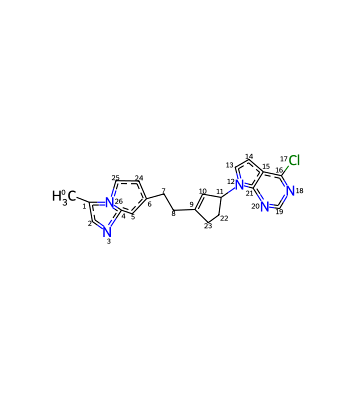 Cc1cnc2cc(CCC3=CC(n4ccc5c(Cl)ncnc54)CC3)ccn12